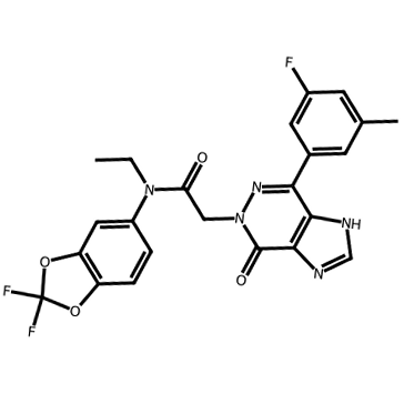 CCN(C(=O)Cn1nc(-c2cc(C)cc(F)c2)c2[nH]cnc2c1=O)c1ccc2c(c1)OC(F)(F)O2